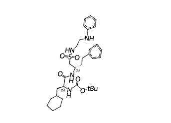 CC(C)(C)OC(=O)N[C@@H](CC1CCCCC1)C(=O)N[C@@H](CCc1ccccc1)CS(=O)(=O)NCCNc1ccccc1